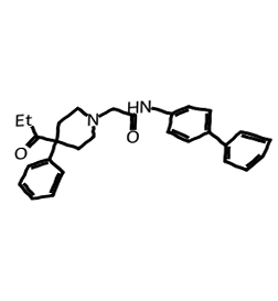 CCC(=O)C1(c2ccccc2)CCN(CC(=O)Nc2ccc(-c3ccccc3)cc2)CC1